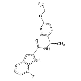 C[C@@H](NC(=O)c1cc2cccc(F)c2[nH]1)c1ccc(OCC(F)(F)F)cn1